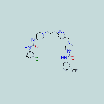 O=C(Nc1cccc(Cl)c1)NC1CCN(CCCc2ccc(CN3CCN(C(=O)Nc4cccc(C(F)(F)F)c4)CC3)cn2)CC1